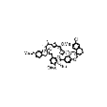 COc1ccc(CN(Cc2ccc(OC)cc2)S(=O)(=O)[C@H](C)[C@@H](C)[C@@H]2C=C([C@H](OC)[C@@H]3CC[C@H]3CN3C[C@@]4(CCCc5cc(Cl)ccc54)COc4ccc(C(=O)OC(C)(C)C)cc43)C2)cc1